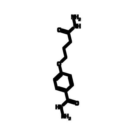 NNC(=O)CCCOc1ccc(C(=O)NN)cc1